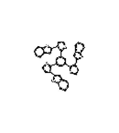 c1ccc2oc(-c3ccsc3-c3cc(-c4sccc4-c4cc5ccccc5o4)cc(-c4sccc4-c4cc5ccccc5o4)c3)cc2c1